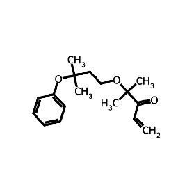 C=CC(=O)C(C)(C)OCCC(C)(C)Oc1ccccc1